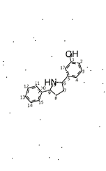 Oc1cccc(C2CCC(c3ccccc3)N2)c1